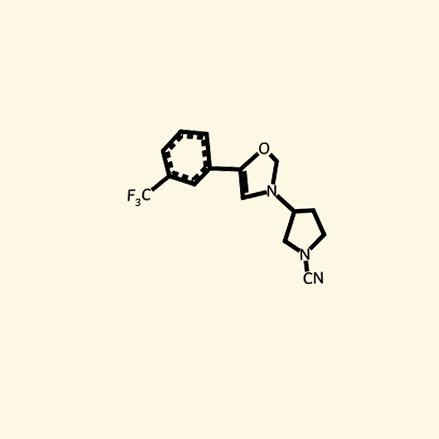 N#CN1CCC(N2C=C(c3cccc(C(F)(F)F)c3)OC2)C1